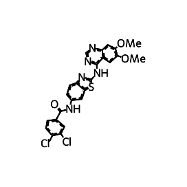 COc1cc2ncnc(Nc3nc4ccc(NC(=O)c5ccc(Cl)c(Cl)c5)cc4s3)c2cc1OC